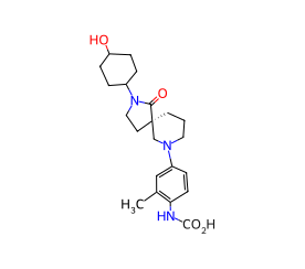 Cc1cc(N2CCC[C@@]3(CCN(C4CCC(O)CC4)C3=O)C2)ccc1NC(=O)O